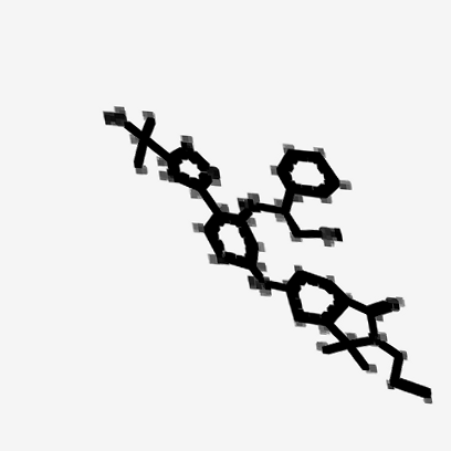 C=CCN1C(=O)c2ccc(Nc3cc(N[C@H](CO)c4ccccc4)c(-c4nc(C(C)(C)O)no4)cn3)cc2C1(C)C